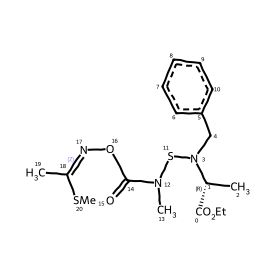 CCOC(=O)[C@@H](C)N(Cc1ccccc1)SN(C)C(=O)O/N=C(/C)SC